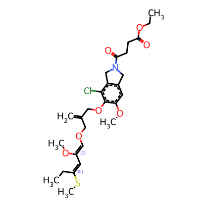 C=C(CO/C=C(/C=C(\CC)SC)OC)COc1c(OC)cc2c(c1Cl)CN(C(=O)CCC(=O)OCC)C2